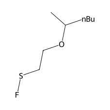 CCCCC(C)OCCSF